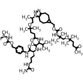 CB(I)NC(=O)OCc1ccc(NC(=O)[C@H](CCCNC(N)=O)NC(=O)C(NC(=O)CCC(C)(C)OCC(C)n2nnc3c2CCC2C(CC3)C2COC(=O)NC(C)(C)COC(C)(C)CCC(C)=O)C(C)C)cc1